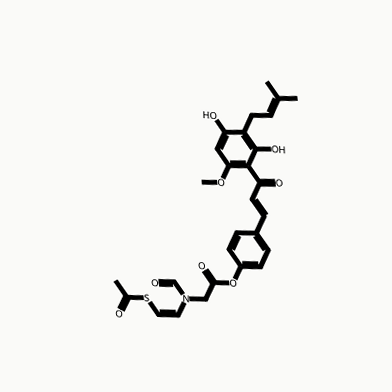 COc1cc(O)c(CC=C(C)C)c(O)c1C(=O)/C=C/c1ccc(OC(=O)CN(C=O)/C=C\SC(C)=O)cc1